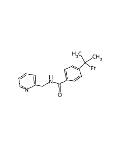 CCC(C)(C)c1ccc(C(=O)NCc2ccccn2)cc1